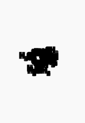 C=C[C@@H]1C[C@]1(NC(=O)[C@@H]1C[C@@H]2CN1C(=O)[C@H](C(C)(C)C)NC(=O)[C@@H](NC(=O)OC(C)(C)C)COCCCc1cc3c(nccc3cc1OC)O2)C(=O)N[S+]([O-])C1CC1